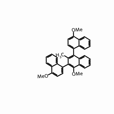 COc1ccc(-c2c(C)c(-c3ccc(OC)c4ccccc34)c3ccccc3c2OC)c2ccccc12